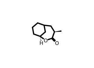 C[C@@H]1CC2CCC[C@@H](C2)OC1=O